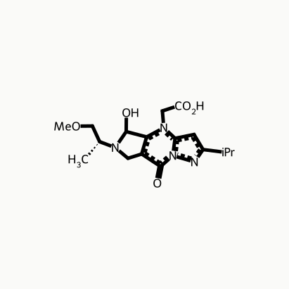 COC[C@@H](C)N1Cc2c(n(CC(=O)O)c3cc(C(C)C)nn3c2=O)C1O